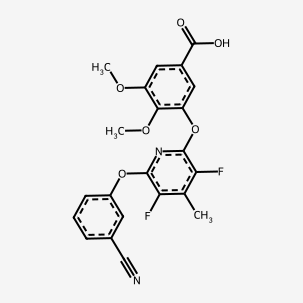 COc1cc(C(=O)O)cc(Oc2nc(Oc3cccc(C#N)c3)c(F)c(C)c2F)c1OC